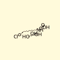 O=C(O)c1ccc(NCCCCCCCCCCCC#Cc2ccc(Cl)cc2)cc1.OCCCC(O)CCO